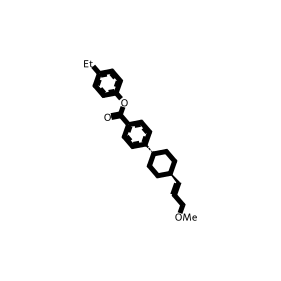 CCc1ccc(OC(=O)c2ccc([C@H]3CC[C@H](/C=C/COC)CC3)cc2)cc1